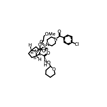 COCCOC(=O)N1[C@@H]2CC[C@H]1[C@H](C(=O)NOC1CCCCO1)N(S(=O)(=O)N1CCN(C(=O)c3ccc(Cl)cc3)CC1)C2